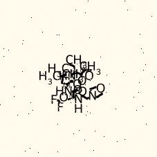 CC(C)C[C@H](NC(=O)[C@H](COC(F)F)NC(=O)CN1CCOCC1)C(=O)N[C@@H](CC(C)C)C(=O)[C@@]1(C)CO1